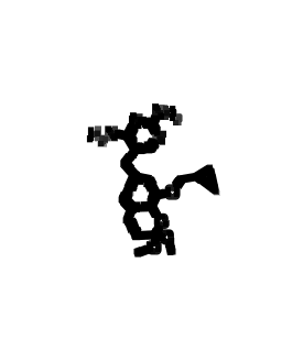 COC1(OC)C=Cc2cc(Cc3cnc(N)nc3N)cc(OCC3CC3)c2O1